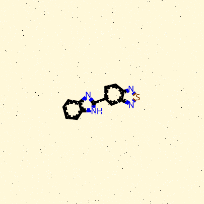 [c]1c(-c2nc3ccccc3[nH]2)ccc2nsnc12